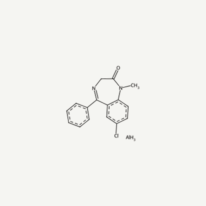 CN1C(=O)CN=C(c2ccccc2)c2cc(Cl)ccc21.[AlH3]